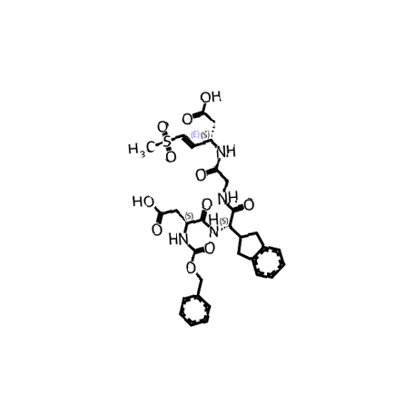 CS(=O)(=O)/C=C/[C@H](CC(=O)O)NC(=O)CNC(=O)[C@@H](NC(=O)[C@H](CC(=O)O)NC(=O)OCc1ccccc1)C1Cc2ccccc2C1